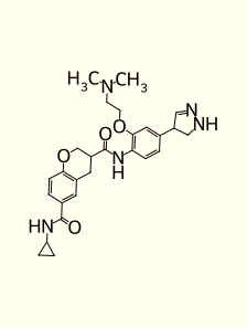 CN(C)CCOc1cc(C2C=NNC2)ccc1NC(=O)C1COc2ccc(C(=O)NC3CC3)cc2C1